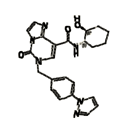 O=C(N[C@H]1CCCC[C@@H]1O)c1cn(Cc2ccc(-n3cccn3)cc2)c(=O)n2ccnc12